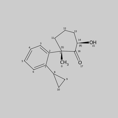 C[C@@]1(c2ccccc2C2CC2)CCC[C@@H](O)C1=O